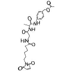 CC(=O)OCc1ccc(NC(=O)C(C)NC(=O)CNC(=O)CCCCCN2C(=O)C=CC2=O)cc1